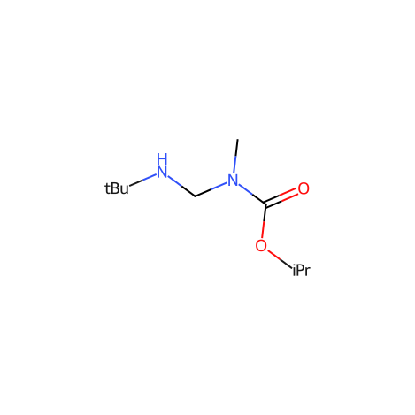 CC(C)OC(=O)N(C)CNC(C)(C)C